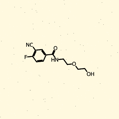 N#Cc1cc(C(=O)NCCOCCO)ccc1F